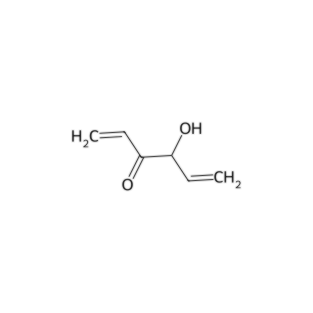 C=CC(=O)C(O)C=C